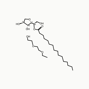 CCCCCCCCCCCCCCCC(=O)O[C@H](CO)[C@H]1OC[C@H](O)[C@H]1O.CCOCCOCCO